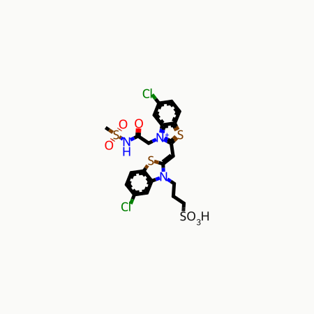 CS(=O)(=O)NC(=O)C[n+]1c(C=C2Sc3ccc(Cl)cc3N2CCCS(=O)(=O)O)sc2ccc(Cl)cc21